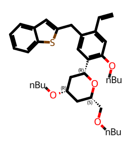 C=Cc1cc(OCCCC)c([C@H]2C[C@@H](OCCCC)C[C@@H](COCCCC)O2)cc1Cc1cc2ccccc2s1